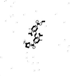 CCOC(=O)N1C[C@H](CC[C@@H]2CN(C(=O)N3CCC(F)C3)C[C@H](C)N2C(C)C)N(C(C)C)[C@H](C)C1